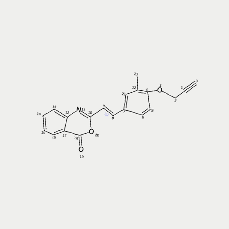 C#CCOc1ccc(/C=C/c2nc3ccccc3c(=O)o2)cc1C